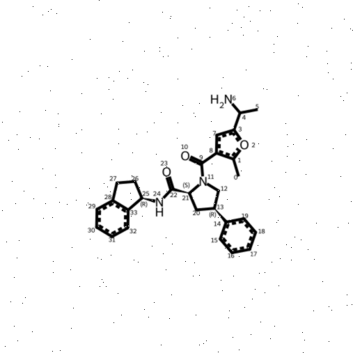 Cc1oc(C(C)N)cc1C(=O)N1C[C@@H](c2ccccc2)C[C@H]1C(=O)N[C@@H]1CCc2ccccc21